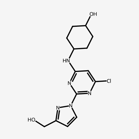 OCc1ccn(-c2nc(Cl)cc(NC3CCC(O)CC3)n2)n1